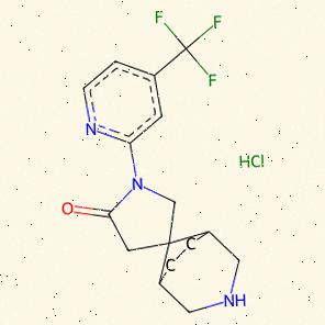 Cl.O=C1CC2(CN1c1cc(C(F)(F)F)ccn1)C1CCC2CNC1